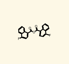 O=C(OC(=O)c1ccc(F)c2ccccc12)c1ccc(F)c2ccccc12